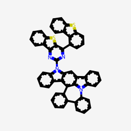 c1ccc2c(c1)-c1ccccc1-n1c3ccccc3c3cc4c(c-2c31)c1ccccc1n4-c1nc(-c2cccc3sc4ccccc4c23)c2sc3ccccc3c2n1